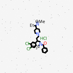 CC/C(=N\OC)C1CCN(CCC(CN(C)C(=O)c2ccccc2)c2ccc(Cl)c(Cl)c2)CC1.Cl